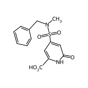 CN(Cc1ccccc1)S(=O)(=O)c1cc(C(=O)O)[nH]c(=O)c1